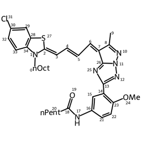 CCCCCCCCN1/C(=C/C=C/C=c2/c(C)nn3nc(-c4cc(NC(=O)CCCCC)ccc4OC)nc23)Sc2cc(Cl)ccc21